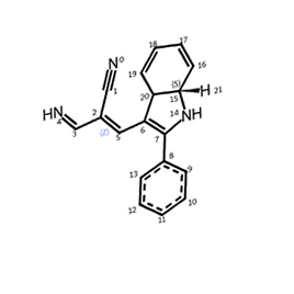 N#C/C(C=N)=C\C1=C(c2ccccc2)N[C@H]2C=CC=CC12